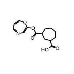 O=C(O)C1CCCCC(C(=O)OC2=CN=CC=CO2)C1